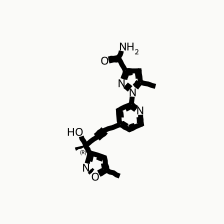 Cc1cc([C@](C)(O)C#Cc2ccnc(-n3nc(C(N)=O)cc3C)c2)no1